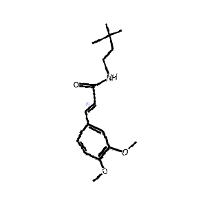 COc1ccc(/C=C/C(=O)NCCC(C)(C)C)cc1OC